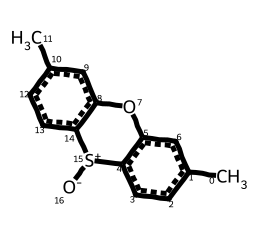 Cc1ccc2c(c1)Oc1cc(C)ccc1[S+]2[O-]